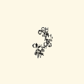 O=C(O)c1cc2n(n1)CCCN(C(=O)OCc1cc(Cl)cc(C(F)(F)F)c1)C2